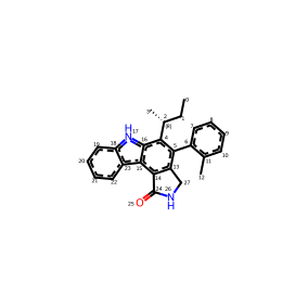 CC[C@@H](C)c1c(-c2ccccc2C)c2c(c3c1[nH]c1ccccc13)C(=O)NC2